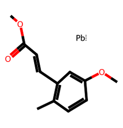 COC(=O)/C=C/c1cc(OC)ccc1C.[Pb]